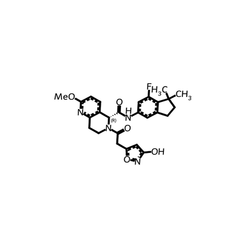 COc1ccc2c(n1)CCN(C(=O)Cc1cc(O)no1)[C@H]2C(=O)Nc1cc(F)c2c(c1)CCC2(C)C